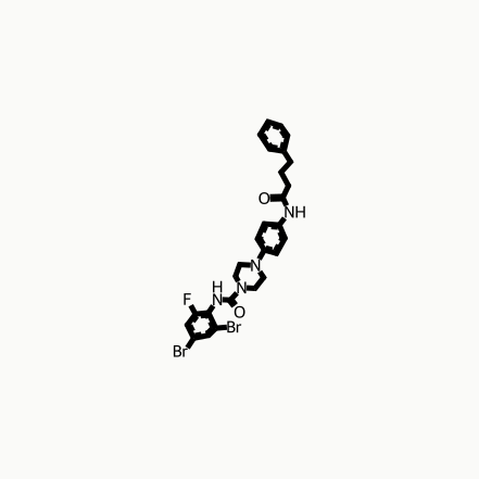 O=C(CCCc1ccccc1)Nc1ccc(N2CCN(C(=O)Nc3c(F)cc(Br)cc3Br)CC2)cc1